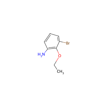 CCOc1c(N)cccc1Br